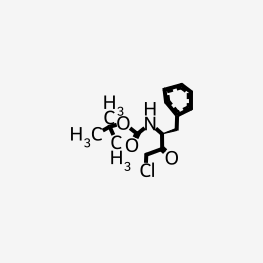 CC(C)(C)OC(=O)N[C@@H](Cc1ccccc1)C(=O)CCl